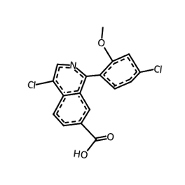 COc1cc(Cl)ccc1-c1ncc(Cl)c2ccc(C(=O)O)cc12